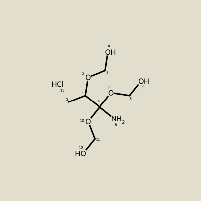 CC(OCO)C(N)(OCO)OCO.Cl